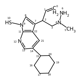 C=CC(CN(C)N)c1cn(S)c2ncc(C3CCCCC3)cc12